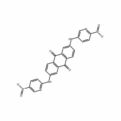 O=C1c2ccc(Nc3ccc([N+](=O)[O-])cn3)cc2C(=O)c2ccc(Nc3ccc([N+](=O)[O-])nc3)cc21